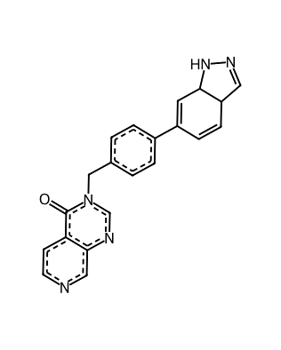 O=c1c2ccncc2ncn1Cc1ccc(C2=CC3NN=CC3C=C2)cc1